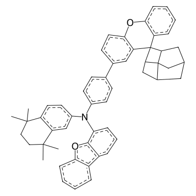 CC1(C)CCC(C)(C)c2cc(N(c3ccc(-c4ccc5c(c4)C4(c6ccccc6O5)C5CC6CC7CC4C75C6)cc3)c3cccc4c3oc3ccccc34)ccc21